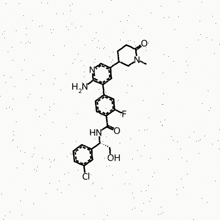 CN1CC(c2cnc(N)c(-c3ccc(C(=O)N[C@H](CO)c4cccc(Cl)c4)c(F)c3)c2)CCC1=O